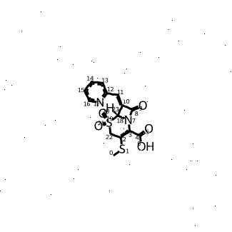 CSC1=C(C(=O)O)N2C(=O)/C(=C/c3ccccn3)[C@H]2S(=O)(=O)C1